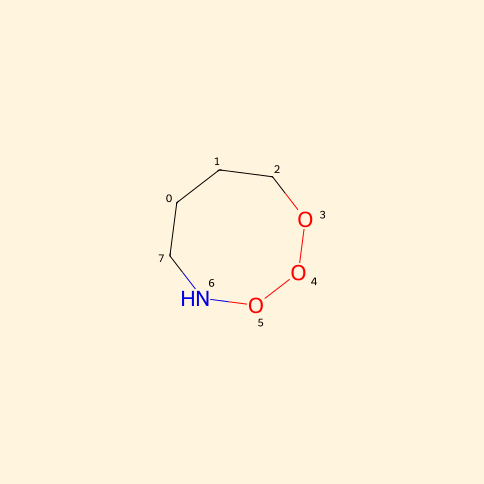 C1CCOOONC1